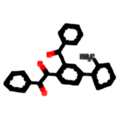 O=C(C(=O)c1ccc(-c2ccccc2C(=O)O)cc1C(=O)c1ccccc1)c1ccccc1